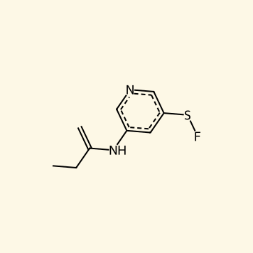 C=C(CC)Nc1cncc(SF)c1